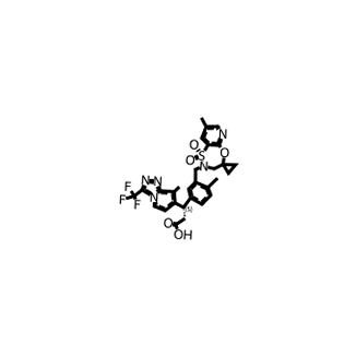 Cc1cnc2c(c1)S(=O)(=O)N(Cc1cc([C@H](CC(=O)O)c3ccn4c(C(F)(F)F)nnc4c3C)ccc1C)CC1(CC1)O2